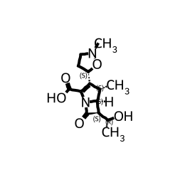 C[C@@H](O)[C@H]1C(=O)N2C(C(=O)O)=C([C@@H]3CCN(C)O3)[C@H](C)[C@@H]12